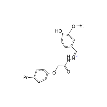 CCOc1cc(/C=N\NC(=O)COc2ccc(C(C)C)cc2)ccc1O